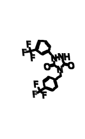 O=c1[nH]n(-c2cccc(C(F)(F)F)c2)c(=O)n1Cc1ccc(C(F)(F)F)cc1